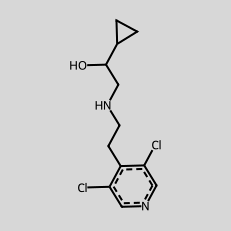 OC(CNCCc1c(Cl)cncc1Cl)C1CC1